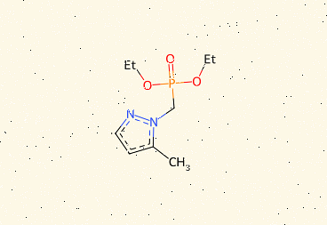 CCOP(=O)(Cn1n[c]cc1C)OCC